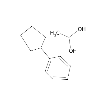 CC(O)O.c1ccc(C2CCCC2)cc1